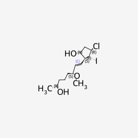 CO[C@H](/C=C/[C@@H]1[C@@H](I)[C@H](Cl)C[C@H]1O)CCC[C@@H](C)O